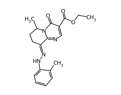 CCOC(=O)c1cnc2n(c1=O)C(C)CCC2=NNc1ccccc1C